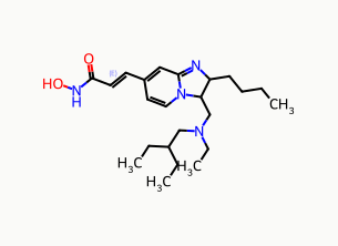 CCCCC1N=C2C=C(/C=C/C(=O)NO)C=CN2C1CN(CC)CC(CC)CC